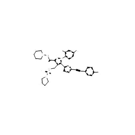 Cc1ccc(C#Cc2ccc(-c3c(CNS(=O)(=O)N4CC[C@H](O)C4)c(C(=O)NN4CCCCC4)nn3-c3ccc(Cl)cc3Cl)s2)cc1